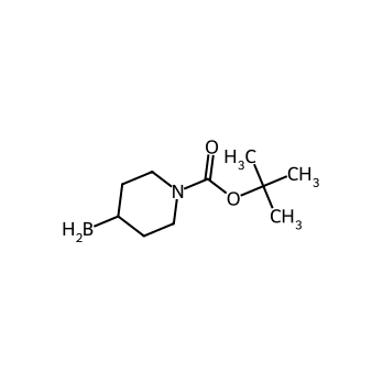 BC1CCN(C(=O)OC(C)(C)C)CC1